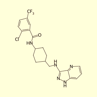 O=C(NC1CCC(CNc2n[nH]c3cccnc23)CC1)c1cc(C(F)(F)F)ccc1Cl